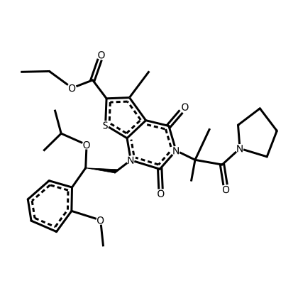 CCOC(=O)c1sc2c(c1C)c(=O)n(C(C)(C)C(=O)N1CCCC1)c(=O)n2C[C@H](OC(C)C)c1ccccc1OC